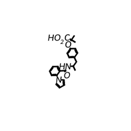 CC(Cc1ccc(OC(C)(C)C(=O)O)cc1)NC(=O)c1ccccc1-n1cccc1